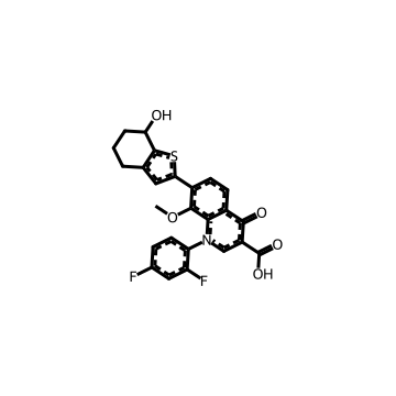 COc1c(-c2cc3c(s2)C(O)CCC3)ccc2c(=O)c(C(=O)O)cn(-c3ccc(F)cc3F)c12